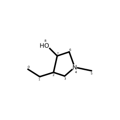 CCC1CN(C)CC1O